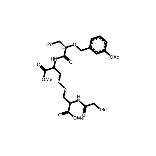 COC(=O)C(CSSCC(NC(=O)[C@@H](CC(C)C)OCc1cccc(OC(C)=O)c1)C(=O)OC)NC(=O)CC(C)(C)C